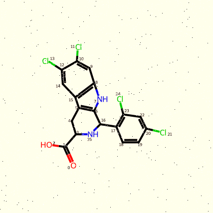 O=C(O)C1Cc2c([nH]c3cc(Cl)c(Cl)cc23)C(c2ccc(Cl)cc2Cl)N1